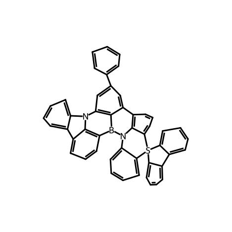 c1ccc(-c2cc3c4c(c2)-n2c5ccccc5c5cccc(c52)B4N2c4ccccc4S4(c5ccccc5-c5ccccc54)c4cccc-3c42)cc1